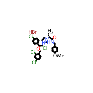 Br.COc1ccc(CNC(=O)C(C)N2C=CN(C(Cl)C(OCc3ccc(Cl)cc3Cl)c3ccc(Cl)cc3)C2)cc1